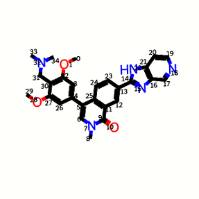 COc1cc(-c2cn(C)c(=O)c3cc(-c4nc5cnccc5[nH]4)ccc23)cc(OC)c1CN(C)C